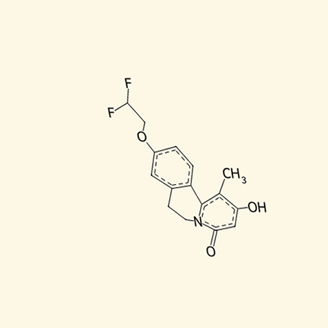 Cc1c(O)cc(=O)n2c1-c1ccc(OCC(F)F)cc1CC2